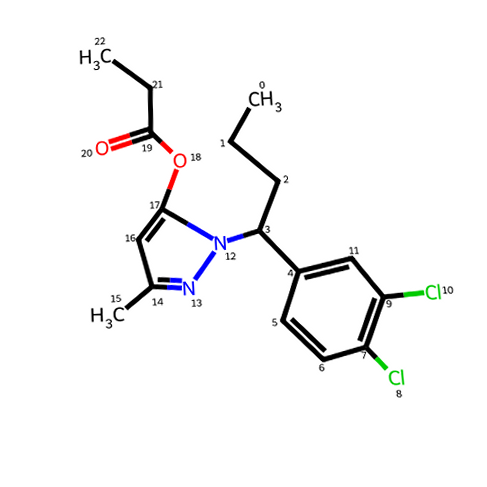 CCCC(c1ccc(Cl)c(Cl)c1)n1nc(C)cc1OC(=O)CC